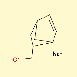 [Na+].[O-]CC1CC2C=CC1C2